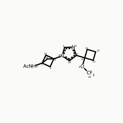 CC(=O)NC12CC(n3cnc(C4(OC(F)(F)F)CCC4)c3)(C1)C2